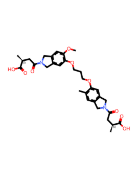 COc1cc2c(cc1OCCCOc1cc3c(cc1C)CN(C(=O)C[C@H](C)C(=O)O)C3)CN(C(=O)C[C@H](C)C(=O)O)C2